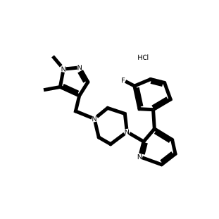 Cc1c(CN2CCN(c3ncccc3-c3cccc(F)c3)CC2)cnn1C.Cl